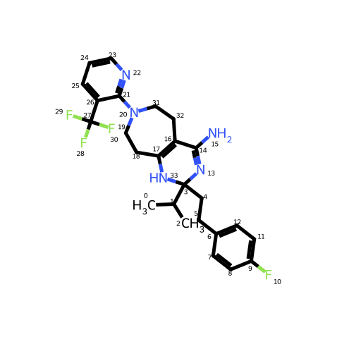 CC(C)C1(CCc2ccc(F)cc2)N=C(N)C2=C(CCN(c3ncccc3C(F)(F)F)CC2)N1